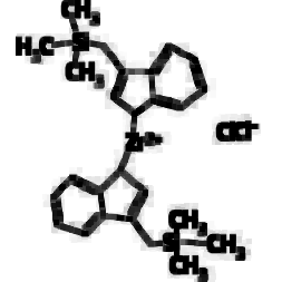 C[Si](C)(C)CC1=C[CH]([Zr+2][CH]2C=C(C[Si](C)(C)C)c3ccccc32)c2ccccc21.[Cl-].[Cl-]